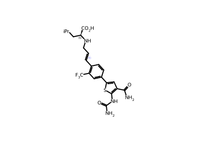 CC(C)C[C@H](NC/C=C/c1ccc(-c2cc(C(N)=O)c(NC(N)=O)s2)cc1C(F)(F)F)C(=O)O